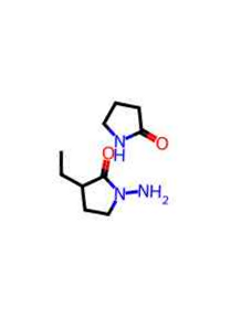 CCC1CCN(N)C1=O.O=C1CCCN1